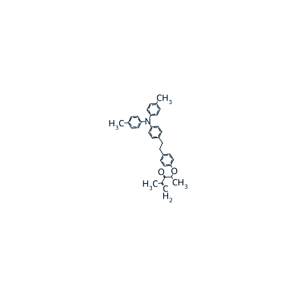 C=C(C)C(=O)C(C)Oc1ccc(CCc2ccc(N(c3ccc(C)cc3)c3ccc(C)cc3)cc2)cc1